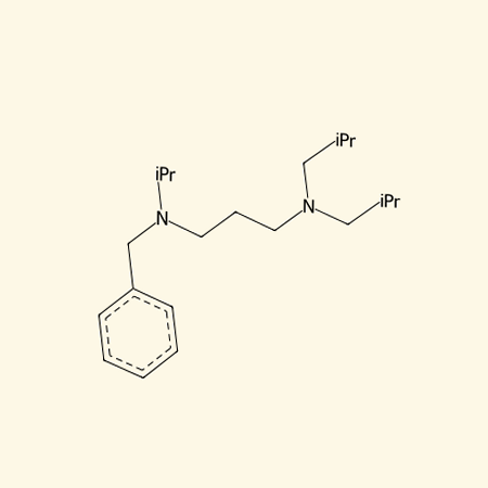 CC(C)CN(CCCN(Cc1ccccc1)C(C)C)CC(C)C